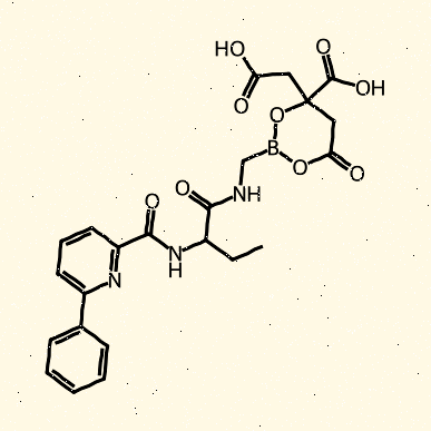 CCC(NC(=O)c1cccc(-c2ccccc2)n1)C(=O)NCB1OC(=O)CC(CC(=O)O)(C(=O)O)O1